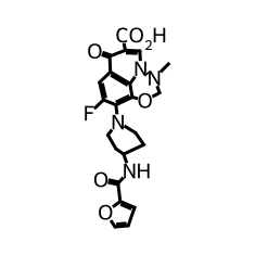 CN1COc2c(N3CCC(NC(=O)c4ccco4)CC3)c(F)cc3c(=O)c(C(=O)O)cn1c23